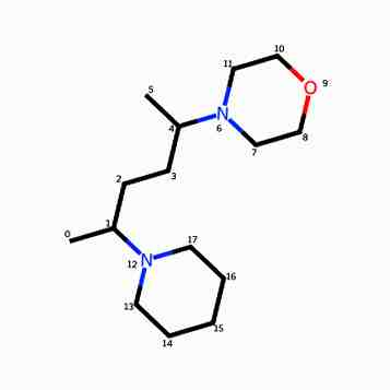 CC(CCC(C)N1CCOCC1)N1CCCCC1